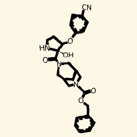 N#Cc1ccc(OC2CCN[C@]2(O)C(=O)N2CC3CC(CN(C(=O)OCc4ccccc4)C3)C2)cc1